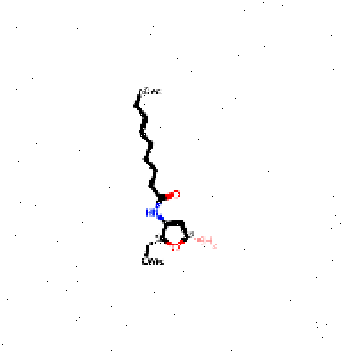 B[C@H]1CC(NC(=O)CCCCCCCCCCCCCCCCC)[C@@H](COC)O1